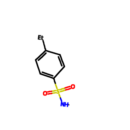 CCc1ccc(S([NH])(=O)=O)cc1